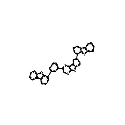 c1cc(-c2cnc3sc4ccc(-c5cccc6c5sc5ccccc56)cc4c3n2)cc(-c2cccc3c2sc2ccccc23)c1